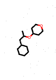 CC(CC1CCCCC1)OC1CCOCC1